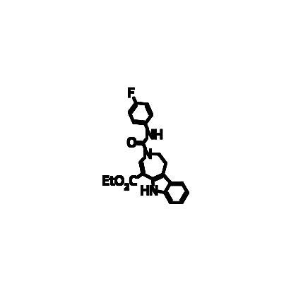 CCOC(=O)C1=CN(C(=O)Nc2ccc(F)cc2)CCc2c1[nH]c1ccccc21